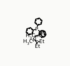 CCP(CC)N(C)[C@@H](C)[C@]12[CH]3[CH]4[CH]5[C]1(P(c1ccccc1)c1ccccc1)[Fe]45321678[CH]2[CH]1[CH]6[CH]7[CH]28